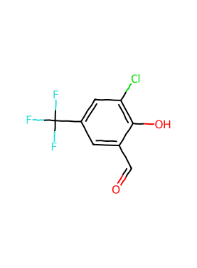 O=Cc1cc(C(F)(F)F)cc(Cl)c1O